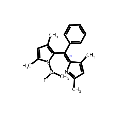 CB(F)n1c(C)cc(C)c1/C(=C1\N=C(C)C=C1C)c1ccccc1